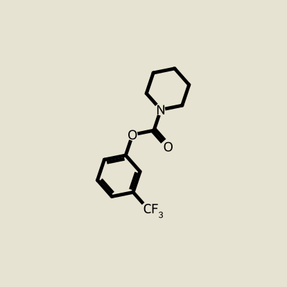 O=C(Oc1cccc(C(F)(F)F)c1)N1CCCCC1